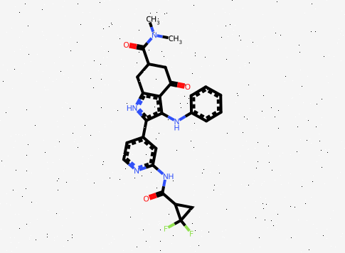 CN(C)C(=O)C1CC(=O)c2c([nH]c(-c3ccnc(NC(=O)C4CC4(F)F)c3)c2Nc2ccccc2)C1